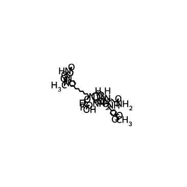 Cn1c(=O)n(C2CCC(=O)NC2=O)c2ccc(CCCCCCC(=O)N3CC[C@H]4CC[C@@H](C(=O)N[C@@H](CCC(N)=O)C(=O)NCc5ccc(S(C)(=O)=O)cc5)N4C(=O)[C@@H](N)C3)cc21.O=C(O)C(F)(F)F